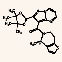 C[C@@H]1c2ccsc2CCN1C(=O)c1c(B2OC(C)(C)C(C)(C)O2)nn2cccnc12